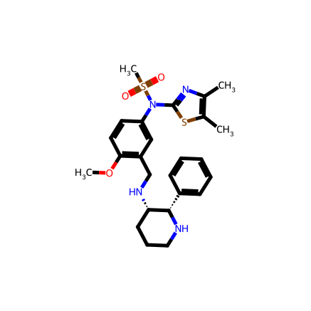 COc1ccc(N(c2nc(C)c(C)s2)S(C)(=O)=O)cc1CN[C@H]1CCCN[C@H]1c1ccccc1